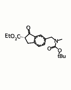 CCOC(=O)[C@H]1Cc2ccc(CN(C)C(=O)OC(C)(C)C)cc2C1=O